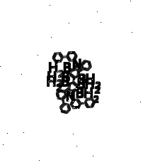 Bc1c(-c2c(B)c(B)c3c(c2B)c2cccc(-c4ccccc4)c2n3-c2cccc(-c3ccccc3)c2)c(B)c2c3ccccc3n(-c3cccc(-c4ccccc4)c3)c2c1B